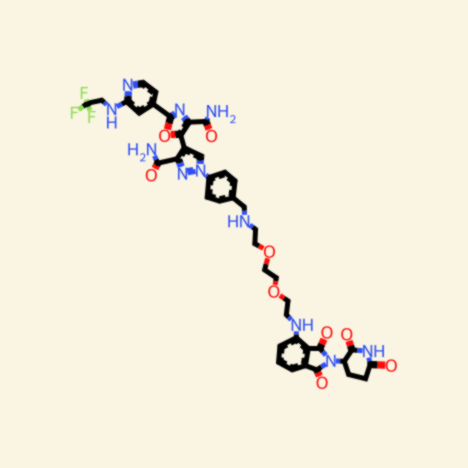 NC(=O)c1nn(-c2ccc(CNCCOCCOCCNc3cccc4c3C(=O)N(C3CCC(=O)NC3=O)C4=O)cc2)cc1-c1oc(-c2ccnc(NCC(F)(F)F)c2)nc1C(N)=O